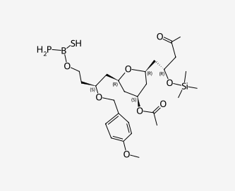 COc1ccc(CO[C@@H](CCOB(P)S)C[C@@H]2C[C@H](OC(C)=O)C[C@H](C[C@H](CC(C)=O)O[Si](C)(C)C)O2)cc1